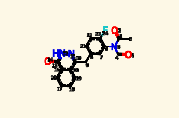 CC(=O)N(C=O)c1cc(Cc2n[nH]c(=O)c3ccccc23)ccc1F